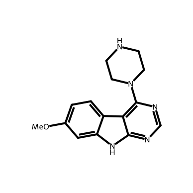 COc1ccc2c(c1)[nH]c1ncnc(N3CCNCC3)c12